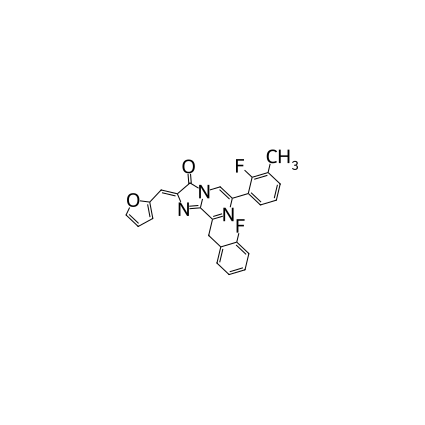 Cc1cccc(C2=CN3C(=O)/C(=C/c4ccco4)N=C3C(Cc3ccccc3F)=N2)c1F